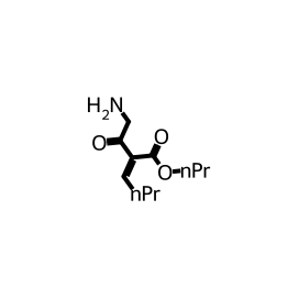 CCCC=C(C(=O)CN)C(=O)OCCC